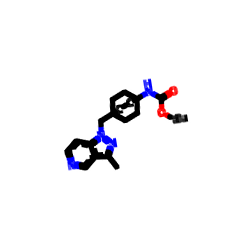 Cc1nn(CC23CCC(NC(=O)OC(C)(C)C)(CC2)CC3)c2ccncc12